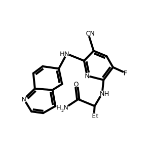 CCC(Nc1nc(Nc2ccc3ncccc3c2)c(C#N)cc1F)C(N)=O